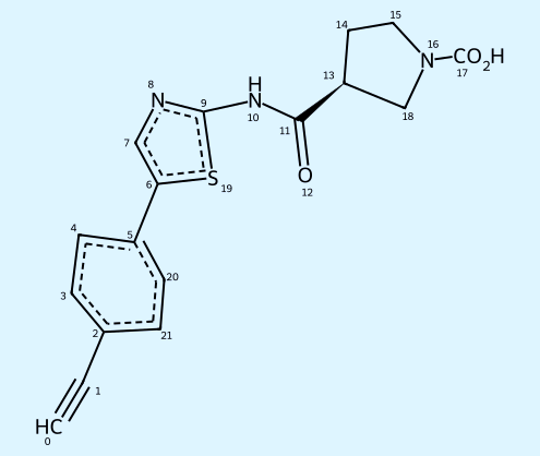 C#Cc1ccc(-c2cnc(NC(=O)[C@H]3CCN(C(=O)O)C3)s2)cc1